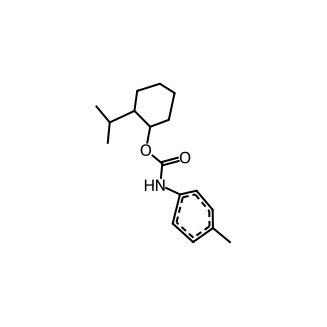 Cc1ccc(NC(=O)OC2CCCCC2C(C)C)cc1